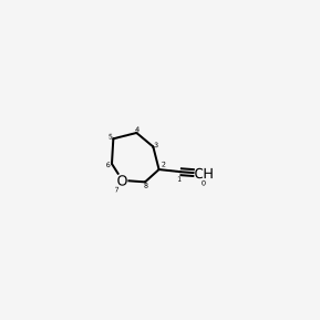 C#CC1CCCCOC1